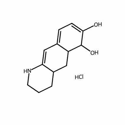 Cl.OC1=CC=C2C=C3NCCCC3CC2C1O